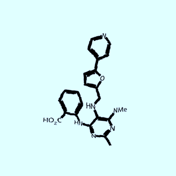 CNc1nc(C)nc(Nc2ccccc2C(=O)O)c1NCc1ccc(-c2ccncc2)o1